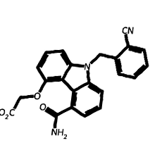 N#Cc1ccccc1Cn1c2cccc(OCC(=O)O)c2c2c(C(N)=O)cccc21